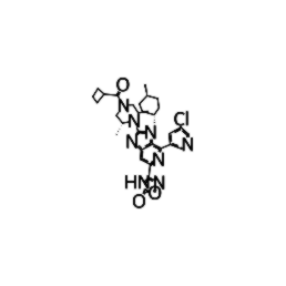 CC1CN(C(=O)C2CCC2)C[C@@H](C)N1c1nc2cc(-c3noc(=O)[nH]3)nc(-c3cncc(Cl)c3)c2n1C[C@H]1CC[C@H](C)CC1